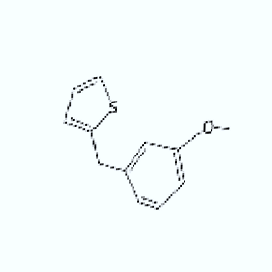 COc1cccc(Cc2cccs2)c1